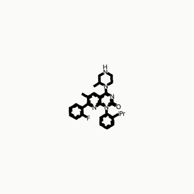 Cc1cc2c(N3CCNCC3C)nc(=O)n(-c3ccccc3C(C)C)c2nc1-c1ccccc1F